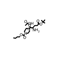 CC(=O)O.CCCCOC(=O)N1CCN(C(=O)[C@@H](N)CCC(=O)OC(C)(C)C)CC1